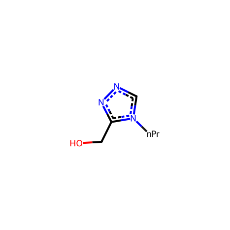 CCCn1cnnc1CO